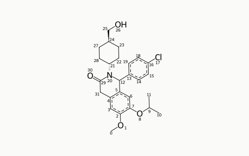 COc1cc2c(cc1OC(C)C)C(c1ccc(Cl)cc1)N([C@H]1CC[C@H](CO)CC1)C(=O)C2